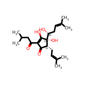 CC(C)=CC[C@@H](O)[C@]1(O)C(O)=C(C(=O)CC(C)C)C(=O)[C@H]1CC=C(C)C